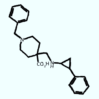 O=C(O)C1(CNC2CC2c2ccccc2)CCN(Cc2ccccc2)CC1